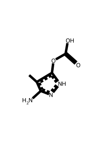 Cc1c(N)n[nH]c1OC(=O)O